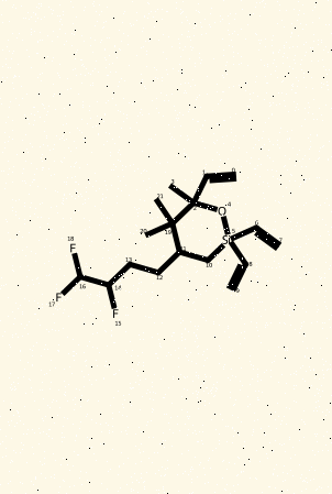 C=CC1(C)O[Si](C=C)(C=C)CC(CCC(F)C(F)F)C1(C)C